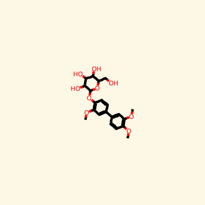 COc1ccc(-c2ccc(OC3OC(CO)C(O)C(O)C3O)c(OC)c2)cc1OC